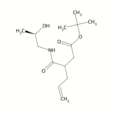 C=CCC(CC(=O)OC(C)(C)C)C(=O)NC[C@@H](C)O